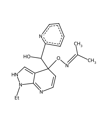 CCN1NC=C2C1=NC=CC2(ON=C(C)C)C(O)c1ccccn1